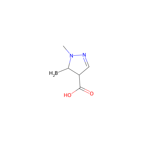 BC1C(C(=O)O)C=NN1C